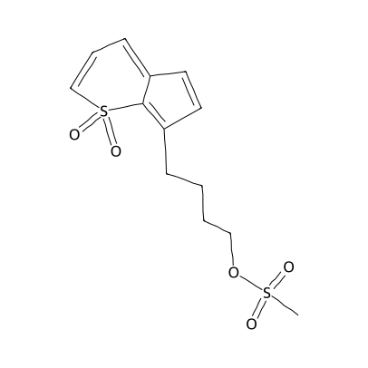 CS(=O)(=O)OCCCCC1=C2C(=CC=CS2(=O)=O)C=C1